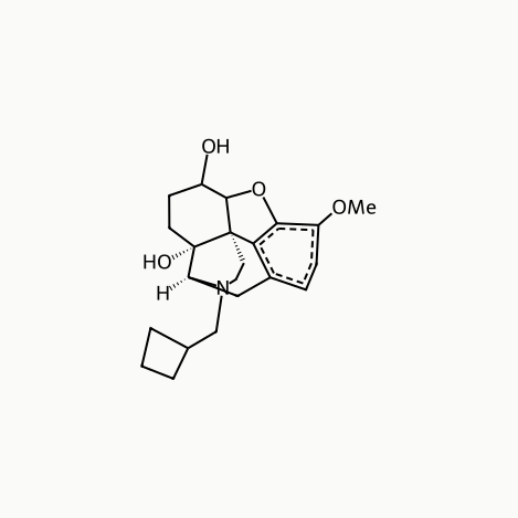 COc1ccc2c3c1OC1C(O)CC[C@]4(O)[C@H](C2)N(CC2CCC2)CC[C@@]314